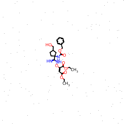 CCOC(=O)C=C(ONC(=N)C1(NC(=O)OCc2ccccc2)CCC(CO)C1)C(=O)OCC